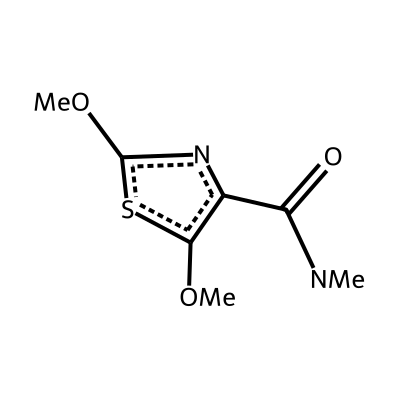 CNC(=O)c1nc(OC)sc1OC